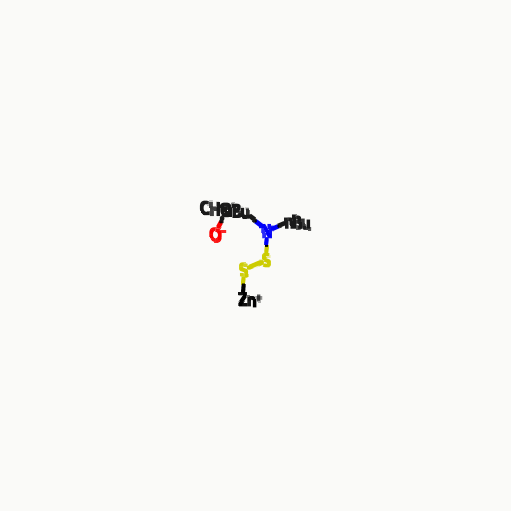 CCCCN(CCCC)S[S][Zn+].O=C[O-]